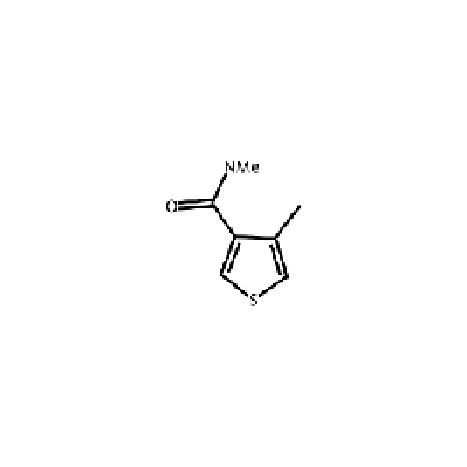 CNC(=O)c1cscc1C